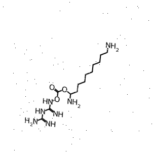 N=C(N)NC(=N)NOC(=O)OC(N)CCCCCCCCCN